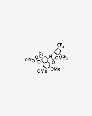 CCCOC(=O)ON1c2cc(OC)c(OC)cc2[C@@H](N(Cc2cc(C(F)(F)F)cc(C(F)(F)F)c2)C(=O)OC)C[C@H]1C